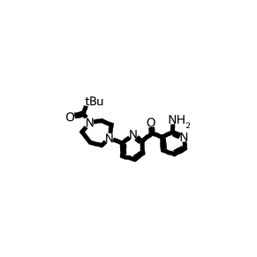 CC(C)(C)C(=O)N1CCCN(c2cccc(C(=O)c3cccnc3N)n2)CC1